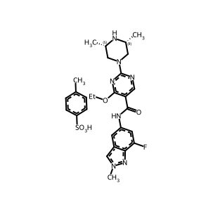 CCOc1nc(N2C[C@@H](C)N[C@@H](C)C2)ncc1C(=O)Nc1cc(F)c2nn(C)cc2c1.Cc1ccc(S(=O)(=O)O)cc1